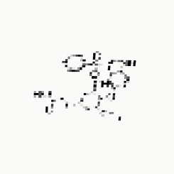 Cc1cc(OCC(=O)O)cc(C)c1Oc1ccc2[nH]cc(S(=O)(=O)c3ccccc3)c2c1